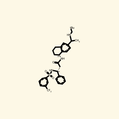 CC(NCC(C)(C)C)c1ccc2c(c1)CCC[C@H]2NC(=O)C[C@@H](NS(=O)(=O)c1cccc(C(F)(F)F)c1)c1ccccc1